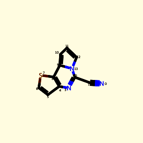 N#Cc1nc2ccsc2c2cccn12